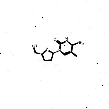 CC1=CN([C@H]2CC[C@@H](CO)O2)C(=O)NC1N